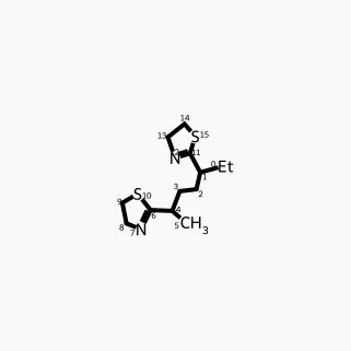 CCC(CCC(C)C1=NCCS1)C1=NCCS1